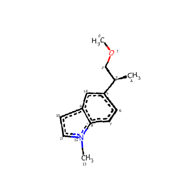 COC[C@@H](C)c1ccc2c(ccn2C)c1